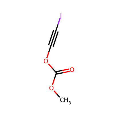 COC(=O)OC#CI